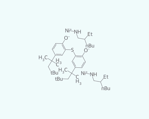 CC(C)(C)CC(C)(C)c1ccc([O-])c(Sc2cc(C(C)(C)CC(C)(C)C)ccc2[O-])c1.CCCCC(CC)C[NH][Ni+].CCCCC(CC)C[NH][Ni+]